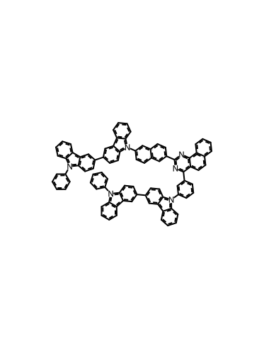 c1ccc(-n2c3ccccc3c3cc(-c4ccc5c(c4)c4ccccc4n5-c4cccc(-c5nc(-c6ccc7cc(-n8c9ccccc9c9cc(-c%10ccc%11c(c%10)c%10ccccc%10n%11-c%10ccccc%10)ccc98)ccc7c6)nc6c5ccc5ccccc56)c4)ccc32)cc1